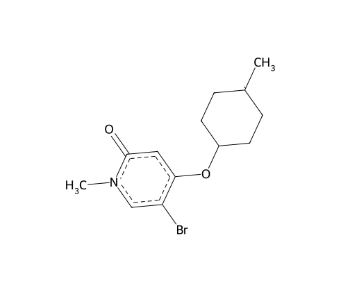 C[C]1CCC(Oc2cc(=O)n(C)cc2Br)CC1